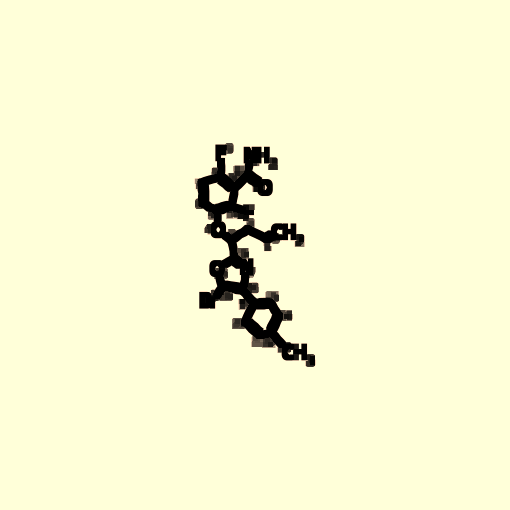 C=CCC(Oc1ccc(F)c(C(N)=O)c1F)c1nc(-c2ccc(C)cc2)c(Br)o1